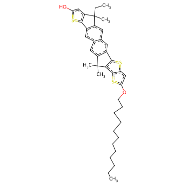 CCCCCCCCCCCCOc1cc2sc3c(c2s1)C(C)(C)c1cc2cc4c(cc2cc1-3)C(C)(CC)c1cc(O)sc1-4